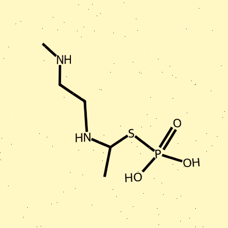 CNCCNC(C)SP(=O)(O)O